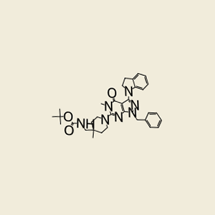 Cn1c(N2CCC(C)(CNC(=O)OC(C)(C)C)CC2)nc2c(c(N3CCc4ccccc43)nn2Cc2ccccc2)c1=O